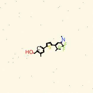 C/N=C(\C=C(\c1ccc(-c2ccc(CO)c(C)c2)s1)C(C)C)C(F)(F)F